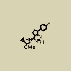 COC(CNc1nc(Cl)nc2c1CCC2c1ccc(F)cc1)C1CC1